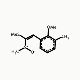 COc1c(C)cccc1C=C(SC)[S+](C)[O-]